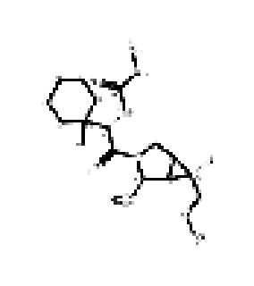 CCCCOC[C@]1(C)C2CN(C(=O)[C@@H](NC(=O)OC(C)(C)C)C3(C)CCCCC3)[C@H](C(=O)O)C21